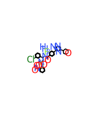 CN(CC(NC(=O)c1ccc(-c2nc(C3CCOCC3)cnc2N)cc1F)c1cccc(Cl)c1)S(=O)(=O)c1ccccc1[N+](=O)[O-]